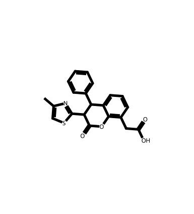 Cc1csc(C2C(=O)Oc3c(CC(=O)O)cccc3C2c2ccccc2)n1